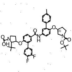 Cc1ccc(-c2cc(NC(=O)c3ccc(OC4CCN(C(=O)O)C4C(C)(C)C)c(-c4ccc(F)c(F)c4)c3)ccc2O[C@H]2CCN(C(=O)OC(C)(C)C)C2)cc1